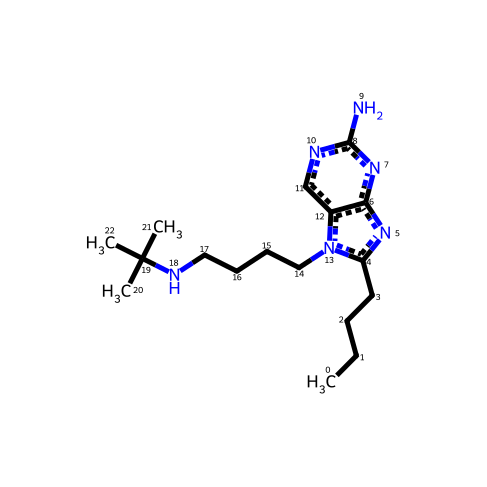 CCCCc1nc2nc(N)ncc2n1CCCCNC(C)(C)C